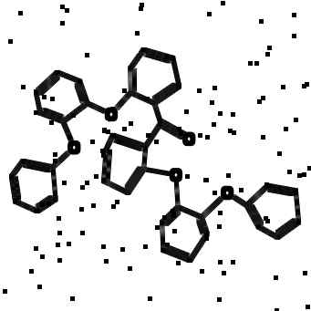 O=C(c1ccccc1Oc1ccccc1Oc1ccccc1)c1ccccc1Oc1ccccc1Oc1ccccc1